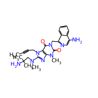 CC#CCn1c(N(C)CC(C)(C)N)nc2c1c(=O)n(Cc1ncc(N)c3ccccc13)c(=O)n2C